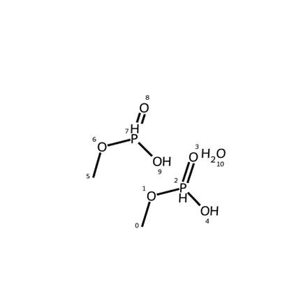 CO[PH](=O)O.CO[PH](=O)O.O